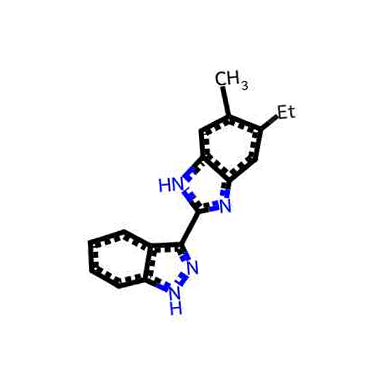 CCc1cc2nc(-c3n[nH]c4ccccc34)[nH]c2cc1C